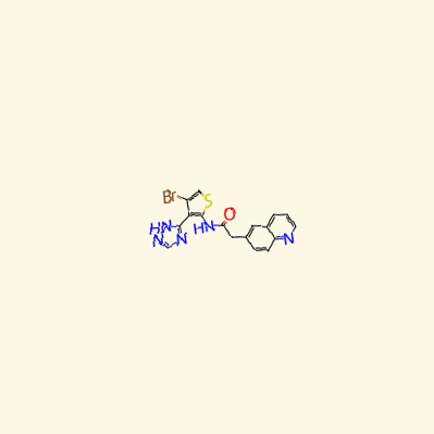 O=C(Cc1ccc2ncccc2c1)Nc1scc(Br)c1-c1ncn[nH]1